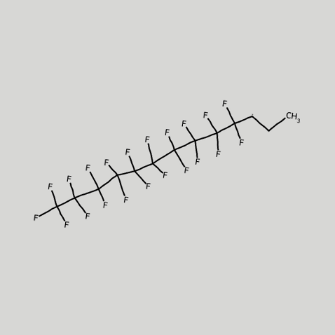 CC[CH]C(F)(F)C(F)(F)C(F)(F)C(F)(F)C(F)(F)C(F)(F)C(F)(F)C(F)(F)C(F)(F)C(F)(F)F